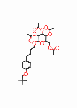 CC(=O)OCC1OC(OCCCCc2ccc(OCC(C)(C)C)cc2)C(OC(C)=O)C(OC(C)=O)C1OC(C)=O